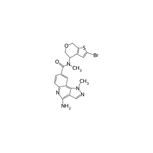 CN(C(=O)c1ccc2nc(N)c3cnn(C)c3c2c1)C1COCc2sc(Br)cc21